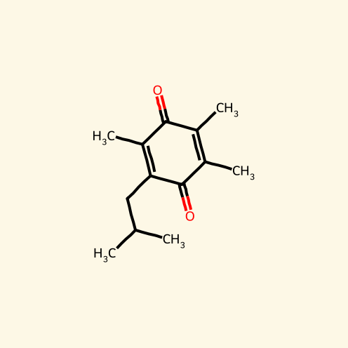 CC1=C(C)C(=O)C(CC(C)C)=C(C)C1=O